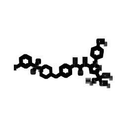 Cc1ccc(-n2nc(C(C)(C)C)cc2NC(=O)Nc2ccc(CC3CCN(S(=O)(=O)c4cccc(F)c4)CC3)cc2)cc1